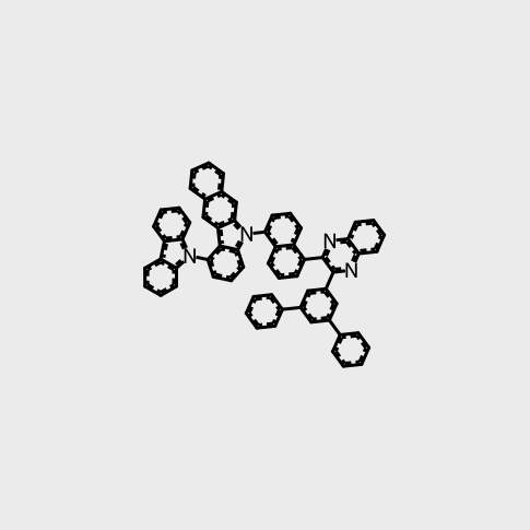 c1ccc(-c2cc(-c3ccccc3)cc(-c3nc4ccccc4nc3-c3cccc4c(-n5c6cc7ccccc7cc6c6c(-n7c8ccccc8c8ccccc87)cccc65)cccc34)c2)cc1